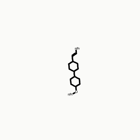 CCC/C=C/C1CCC(C2CCC(OCCC)CC2)CC1